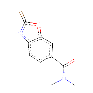 CN(C)C(=O)c1ccc2[nH]c(=S)oc2c1